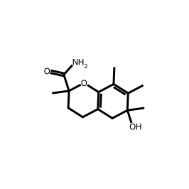 CC1=C(C)C(C)(O)CC2=C1OC(C)(C(N)=O)CC2